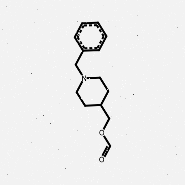 O=COCC1CCN(Cc2ccccc2)CC1